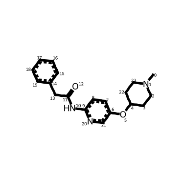 CN1CCC(Oc2ccc(NC(=O)Cc3ccccc3)nc2)CC1